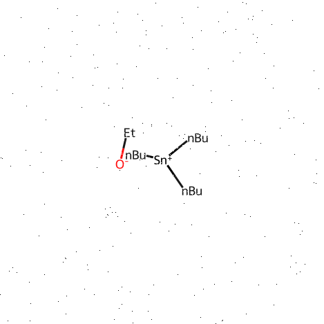 CCC[CH2][Sn+]([CH2]CCC)[CH2]CCC.CC[O-]